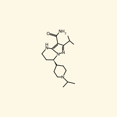 CC(C)c1nn2c(c1C(N)=O)NCC[C@@H]2C1CCN(C(C)C)CC1